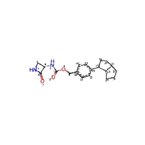 O=C(N[C@H]1CNC1=O)OCc1ccc(C2CC3C4CCC2C43)cc1